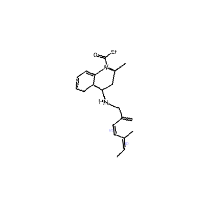 C=C(/C=C\C(C)=C/C)CNC1CC(C)N(C(=O)CC)C2=CC=CCC21